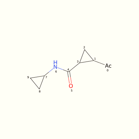 CC(=O)C1CC1C(=O)NC1CC1